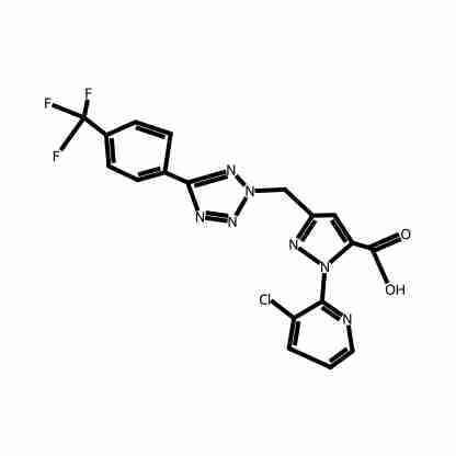 O=C(O)c1cc(Cn2nnc(-c3ccc(C(F)(F)F)cc3)n2)nn1-c1ncccc1Cl